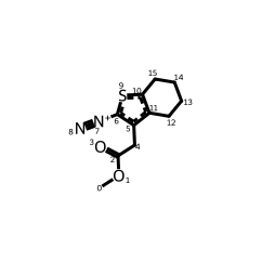 COC(=O)Cc1c([N+]#N)sc2c1CCCC2